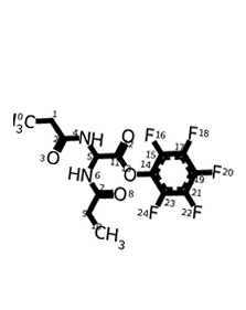 CCC(=O)NC(NC(=O)CC)C(=O)Oc1c(F)c(F)c(F)c(F)c1F